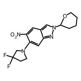 O=[N+]([O-])c1cc2cn(C3CCCCO3)nc2cc1N1CCC(F)(F)C1